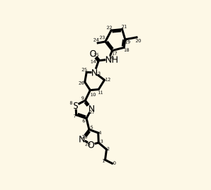 CCCC1CC(c2csc(C3CCN(C(=O)Nc4cc(C)ccc4C)CC3)n2)=NO1